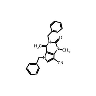 C=C1c2c(c(C#N)cn2Cc2ccccc2)N(C)C(=O)N1Cc1ccccc1